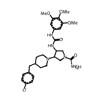 COc1cc(NC(=O)NC2CN(C(N)=O)CC2N2CCC(Cc3ccc(Cl)cc3)CC2)cc(OC)c1OC.Cl